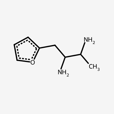 CC(N)C(N)Cc1ccco1